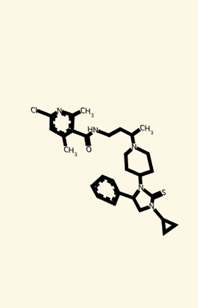 Cc1cc(Cl)nc(C)c1C(=O)NCCC(C)N1CCC(N2C(=S)N(C3CC3)CC2c2ccccc2)CC1